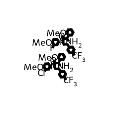 COc1ccc(N(CCc2ccc(C(F)(F)F)cc2)C(=O)C(N)c2ccccc2OC)cc1Cl.COc1ccc(N(CCc2ccc(C(F)(F)F)cc2)C(=O)C(N)c2ccccc2OC)cc1F